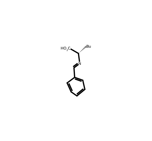 CCC(C)[C@H](N=Cc1ccccc1)C(=O)O